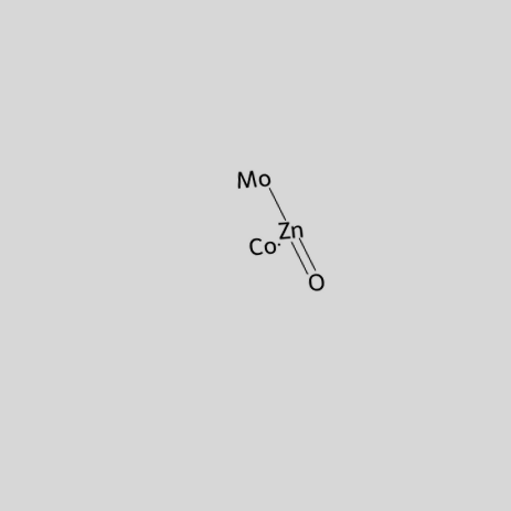 [Co].[O]=[Zn][Mo]